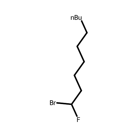 CCCCCCCCCC(F)Br